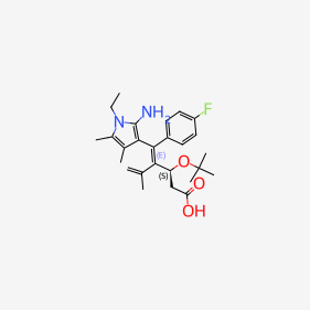 C=C(C)/C(=C(/c1ccc(F)cc1)c1c(C)c(C)n(CC)c1N)[C@H](CC(=O)O)OC(C)(C)C